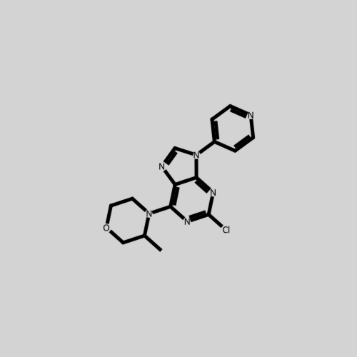 CC1COCCN1c1nc(Cl)nc2c1ncn2-c1ccncc1